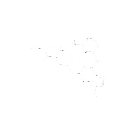 CC(C)c1cnn2c(Nc3cccc(N)c3)cc(OC3CCC(C)(C)N(C(=O)OC(C)(C)C)C3)nc12